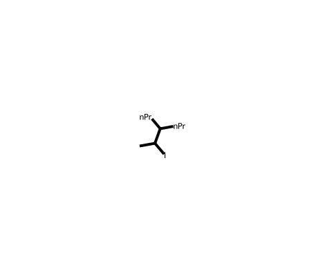 CCCC(CCC)C(C)I